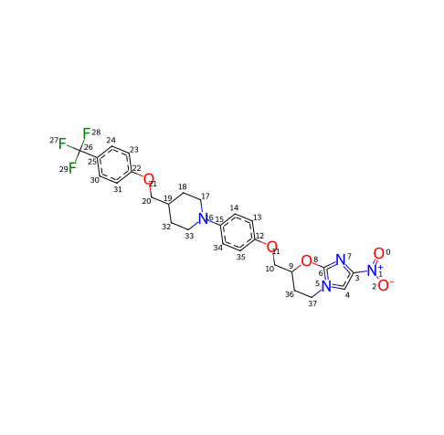 O=[N+]([O-])c1cn2c(n1)OC(COc1ccc(N3CCC(COc4ccc(C(F)(F)F)cc4)CC3)cc1)CC2